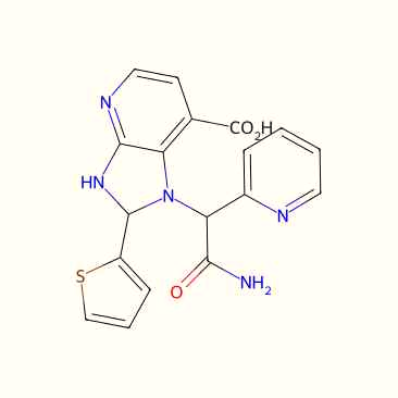 NC(=O)C(c1ccccn1)N1c2c(C(=O)O)ccnc2NC1c1cccs1